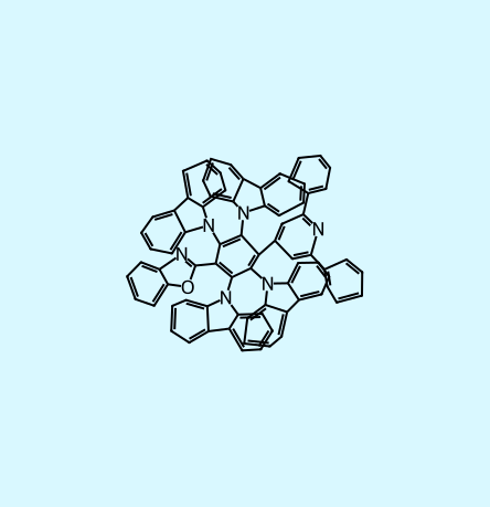 c1ccc(-c2cc(-c3c(-n4c5ccccc5c5ccccc54)c(-n4c5ccccc5c5ccccc54)c(-c4nc5ccccc5o4)c(-n4c5ccccc5c5ccccc54)c3-n3c4ccccc4c4ccccc43)cc(-c3ccccc3)n2)cc1